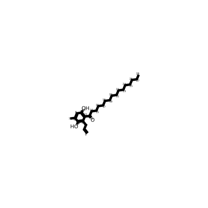 C=CCc1c(O)c(C)cc(O)c1C(=O)CCCCCCCCCCCCCCC